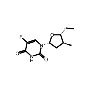 CC[C@H]1O[C@@H](n2cc(F)c(=O)[nH]c2=O)C[C@@H]1C